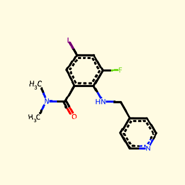 CN(C)C(=O)c1cc(I)cc(F)c1NCc1ccncc1